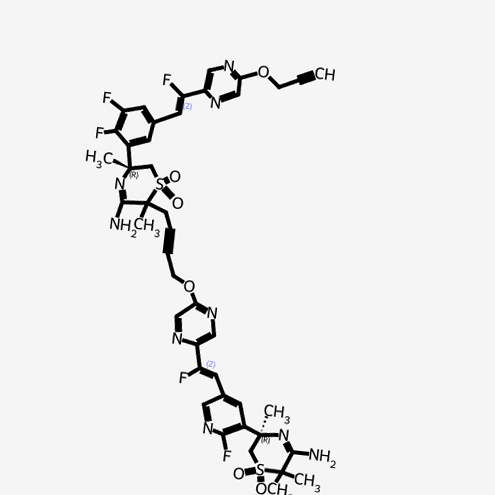 C#CCOc1cnc(/C(F)=C/c2cc(F)c(F)c([C@]3(C)CS(=O)(=O)C(C)(CC#CCOc4cnc(/C(F)=C/c5cnc(F)c([C@]6(C)CS(=O)(=O)C(C)(C)C(N)=N6)c5)cn4)C(N)=N3)c2)cn1